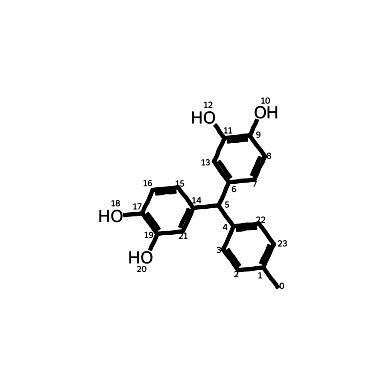 Cc1ccc(C(c2ccc(O)c(O)c2)c2ccc(O)c(O)c2)cc1